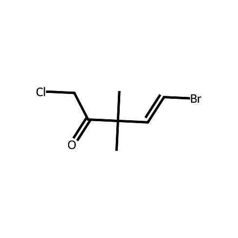 CC(C)(C=CBr)C(=O)CCl